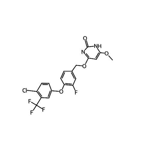 COc1cc(OCc2ccc(Oc3ccc(Cl)c(C(F)(F)F)c3)c(F)c2)nc(=O)[nH]1